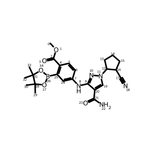 COC(=O)c1ccc(Nc2nn(C3CCCC3C#N)cc2C(N)=O)cc1B1OC(C)(C)C(C)(C)O1